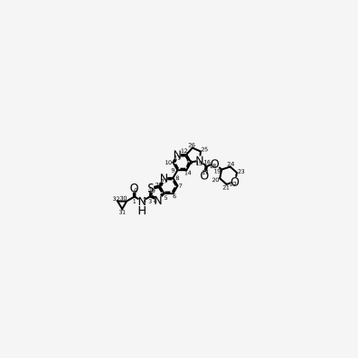 O=C(Nc1nc2ccc(-c3cnc4c(c3)N(C(=O)OC3CCOCC3)CC4)nc2s1)C1CC1